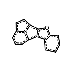 c1ccc2c(c1)oc1c2c2cccc3ccc1n32